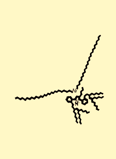 CCCCCCC(=CC(CCCCCC)CCc1ccccc1C1=CC(CCCC)=C(c2ccccc2CCC(C=C(CCCCC)CCCCCC)CCCCCC)[N+]1=[N-])CCCCC.CCCCCCCCCCCCCCCCCCCCCCCCCC[CH2][Ni][CH2]CCCCCCCCCCCCCCCCCCCCCCCCCC